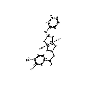 CC(CN1C[C@H]2C[C@H](Oc3cccnc3)C[C@H]2C1)c1ccc(O)c(F)c1